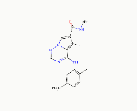 CCCNC(=O)c1cn2ncnc(Nc3cc(C(=O)O)ccc3C)c2c1C